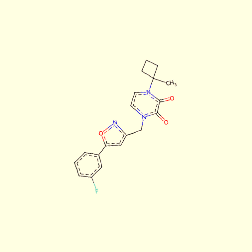 CC1(n2ccn(Cc3cc(-c4cccc(F)c4)on3)c(=O)c2=O)CCC1